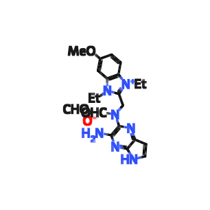 CCn1c(CN(C=O)c2nc3cc[nH]c3nc2N)[n+](CC)c2ccc(OC)cc21.O=C[O-]